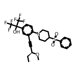 CC[C@@H](C#Cc1cc(C(O)(C(F)(F)F)C(F)(F)F)ccc1N1CCC(S(=O)(=O)c2ccccc2)CC1)OC